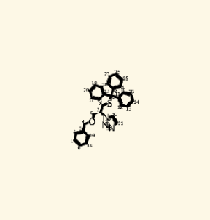 c1ccc(COC[C@@H](CSC(c2ccccc2)(c2ccccc2)c2ccccc2)n2ccnn2)cc1